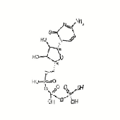 Nc1ccn([C@@H]2O[C@H](COP(=O)(O)OP(=O)(O)OP(=O)(O)S)C(O)C2O)c(=O)n1